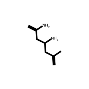 C=C(C)CC(N)CC(=C)N